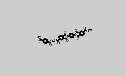 CCOC(=O)c1ccc2c(c1)C(=O)N(c1ccc(N3C(=O)c4ccc(C(=O)OCOC(=O)c5ccc(C(=O)OC)cc5)cc4C3=O)cc1)C2=O